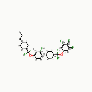 CCCC1CCC(C(F)(F)Oc2ccc(C3CCC(C(F)(F)Oc4cc(F)c(F)c(F)c4)CC3)c(F)c2)CC1